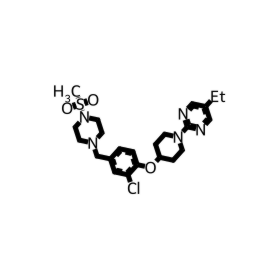 CCc1cnc(N2CCC(Oc3ccc(CN4CCN(S(C)(=O)=O)CC4)cc3Cl)CC2)nc1